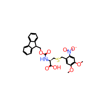 COc1cc(CSC[C@H](NC(=O)OCC2c3ccccc3-c3ccccc32)C(=O)O)c([N+](=O)[O-])cc1OC